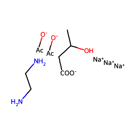 CC(=O)[O-].CC(=O)[O-].CC(O)CC(=O)[O-].NCCN.[Na+].[Na+].[Na+]